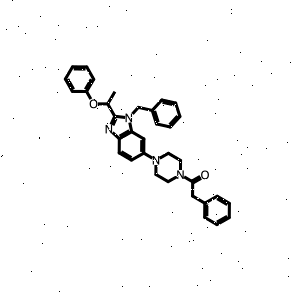 CC(Oc1ccccc1)c1nc2ccc(N3CCN(C(=O)Cc4ccccc4)CC3)cc2n1Cc1ccccc1